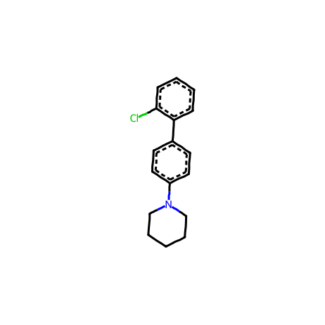 Clc1ccccc1-c1ccc(N2CCCCC2)cc1